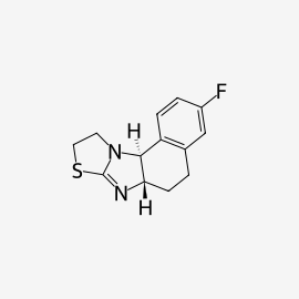 Fc1ccc2c(c1)CC[C@@H]1N=C3SCCN3[C@@H]21